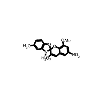 COc1cc([N+](=O)[O-])cc2c1OC1(Oc3ccc(C)cc3N1C)C(C)=C2